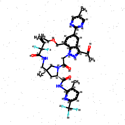 C=CC(F)(F)C(=O)NC[C@]1(C)C[C@@H](C(=O)Nc2nc(C(F)(F)F)ccc2C)N(C(=O)Cn2nc(C(C)=O)c3cc(-c4ncc(C)cn4)cc(COCC)c32)C1